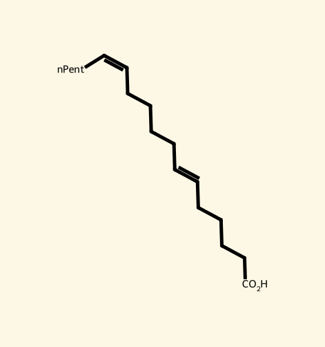 CCCCC/C=C\CCCCC=CCCCCC(=O)O